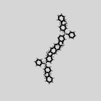 c1ccc(N(c2ccc3c(c2)oc2cc4cc5c(cc4cc23)oc2cc(N(c3ccccc3)c3ccc4c(c3)sc3ccccc34)ccc25)c2ccc3c(c2)sc2ccccc23)cc1